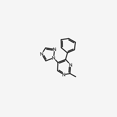 Cc1ncc(-n2cncn2)c(-c2ccccc2)n1